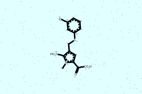 Cn1c(C(=O)C(=O)O)cc(CSc2cccc(Cl)c2)c1C(=O)O